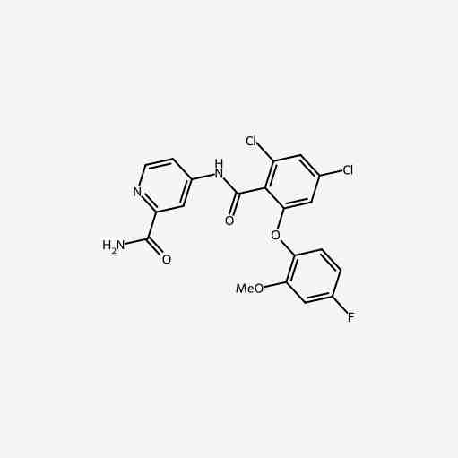 COc1cc(F)ccc1Oc1cc(Cl)cc(Cl)c1C(=O)Nc1ccnc(C(N)=O)c1